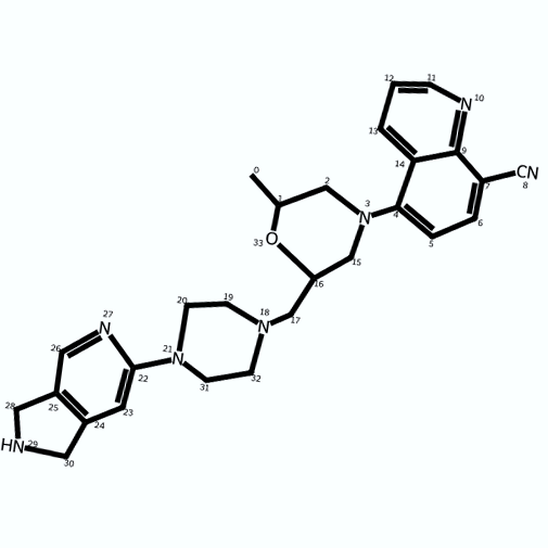 CC1CN(c2ccc(C#N)c3ncccc23)CC(CN2CCN(c3cc4c(cn3)CNC4)CC2)O1